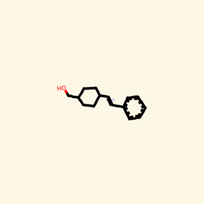 OCC1CCC(/C=C/c2ccccc2)CC1